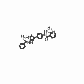 Cc1ncccc1C(=O)Nc1ccc(-c2cc(NC(=O)c3ccccc3)n(C)n2)cc1